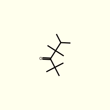 CC(C)C(C)(C)C(=O)C(C)(C)C